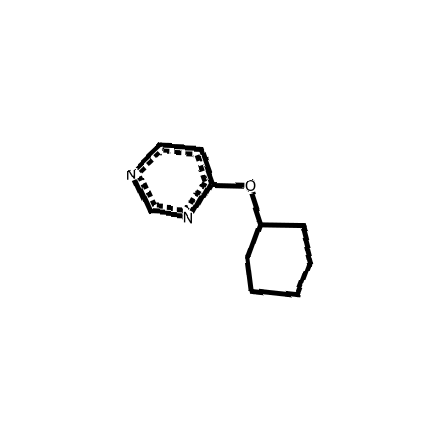 c1cc(OC2CCCCC2)ncn1